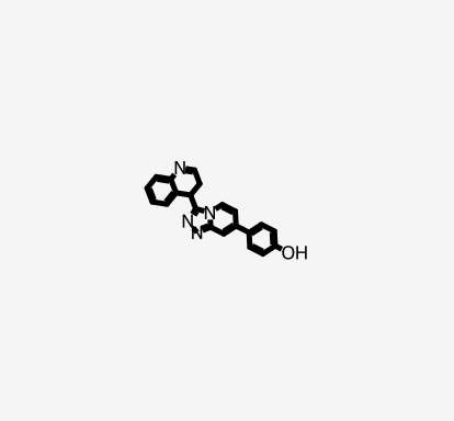 Oc1ccc(-c2ccn3c(C4CC=Nc5ccccc54)nnc3c2)cc1